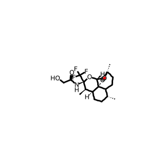 C[C@@H]1CC[C@H]2[C@@H](C)[C@](NC(=O)CO)(C(F)(F)F)O[C@@H]3O[C@]4(C)CCC1[C@]32OO4